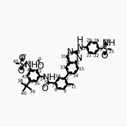 COc1c(NC(=O)c2ccc(C)c(-c3ccc4nc(Nc5ccc(S(C)(=N)=O)cc5)ncc4c3)c2)cc(C(C)(C)C)cc1NS(C)(=O)=O